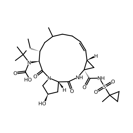 CC[C@@H]1CC(C)CCC=C[C@@H]2C[C@@]2(C(=O)NS(=O)(=O)C2(C)CC2)NC(=O)[C@@H]2C[C@@H](O)CN2C(=O)[C@H]1N(C(=O)O)C(C)(C)C